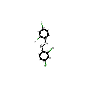 Fc1ccc([Se][Se]c2ccc(F)cc2F)c(F)c1